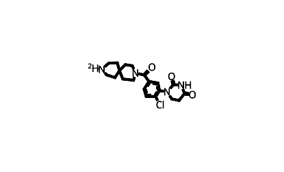 [2H]N1CCC2(CC1)CCN(C(=O)c1ccc(Cl)c(N3CCC(=O)NC3=O)c1)CC2